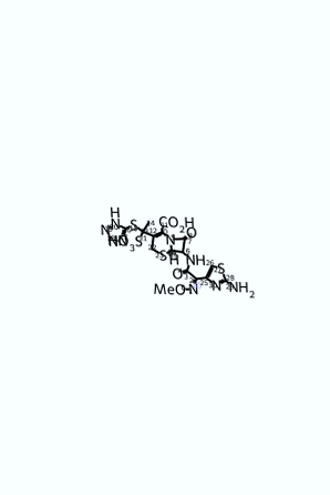 CO/N=C(\C(=O)NC1C(=O)N2C(C(=O)O)=C(C(C)(Sc3nnn[nH]3)S(=O)(=O)O)CS[C@H]12)c1csc(N)n1